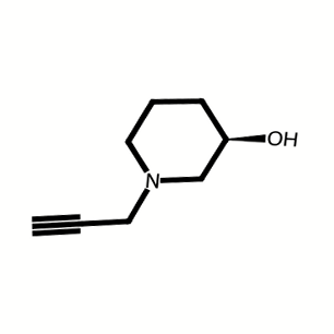 C#CCN1CCC[C@@H](O)C1